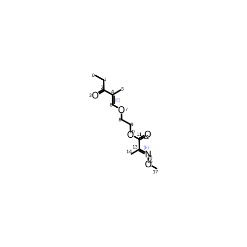 CCC(=O)/C(C)=C/OCCOC(=O)/C(C)=N/OC